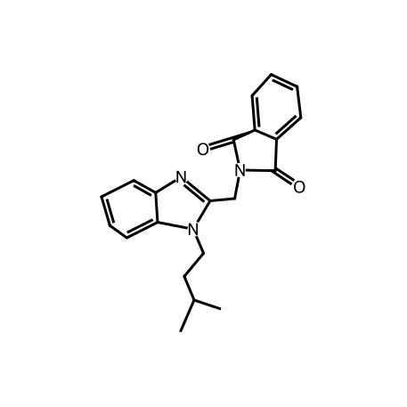 CC(C)CCn1c(CN2C(=O)c3ccccc3C2=O)nc2ccccc21